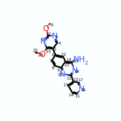 COc1ncc(-c2ccc3nc(-c4cccnc4)nc(N)c3c2)c(OC)n1